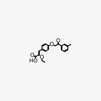 CCO/C(=C\c1ccc(OCC(=O)c2cccc(C)c2)cc1)C(=O)O